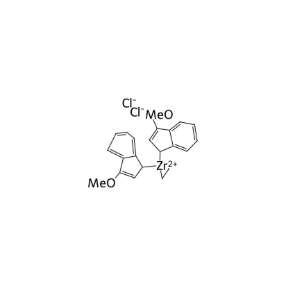 COC1=C[CH]([Zr+2]2([CH]3C=C(OC)c4ccccc43)[CH2][CH2]2)c2ccccc21.[Cl-].[Cl-]